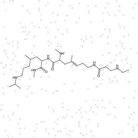 CCNCCC(=O)NCC/C=C(\C)CC(NC)C(=O)NC(CC(C)CCCNC(C)C)C(=O)NC